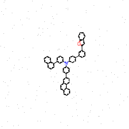 c1cc(-c2ccc(N(c3ccc(-c4ccc5c(ccc6ccccc65)c4)cc3)c3cccc(-c4cccc5ccccc45)c3)cc2)cc(-c2cc3ccccc3o2)c1